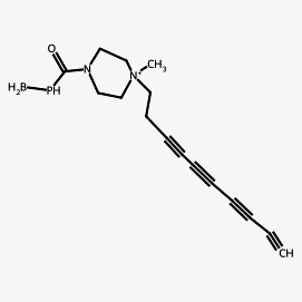 BPC(=O)N1CC[N+](C)(CCC#CC#CC#CC#C)CC1